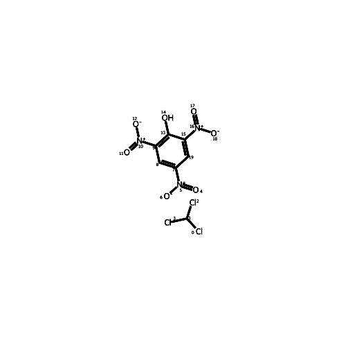 ClC(Cl)Cl.O=[N+]([O-])c1cc([N+](=O)[O-])c(O)c([N+](=O)[O-])c1